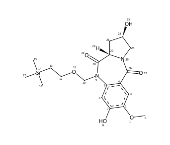 COc1cc2c(cc1O)N(COCC[Si](C)(C)C)C(=O)[C@@H]1C[C@@H](O)CN1C2=O